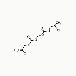 C=C(Cl)COC(=O)OCOC(=O)OCC(=C)Cl